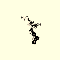 CCCCOC(=O)NC(CC(=O)O)SCc1csc(-c2ccc(-c3cccc4c3oc3ccccc34)cc2)n1